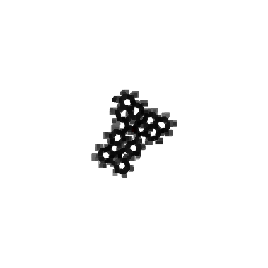 c1ccc2c(c1)-c1ccc(-c3ccc4ccc5cccc6ccc3c4c56)cc1C21c2ccccc2-c2ccc(-c3ccc4ccc5cccc6ccc3c4c56)cc21